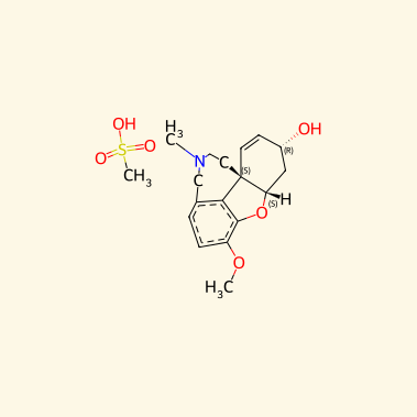 COc1ccc2c3c1O[C@H]1C[C@@H](O)C=C[C@@]31CCN(C)C2.CS(=O)(=O)O